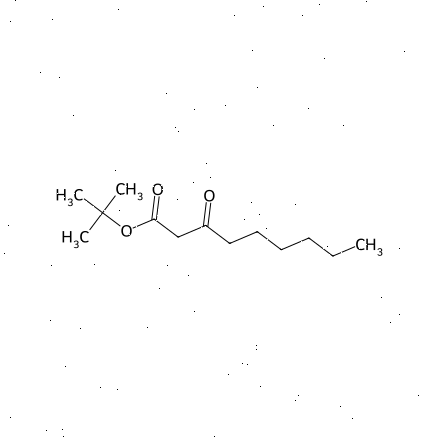 CCCCCCC(=O)CC(=O)OC(C)(C)C